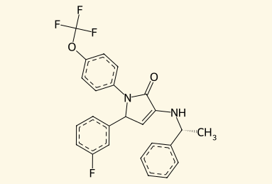 C[C@@H](NC1=CC(c2cccc(F)c2)N(c2ccc(OC(F)(F)F)cc2)C1=O)c1ccccc1